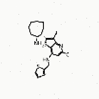 N[C@H]1CCCCCC[C@@H]1c1sc2c(NCc3cccs3)cc(Cl)nc2c1I